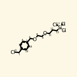 ClCc1ccc(COCCOCCC[Si](Cl)(Cl)Cl)cc1